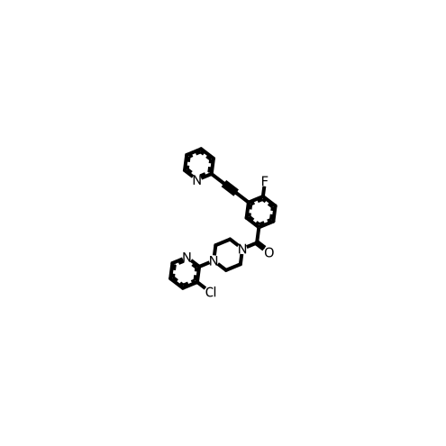 O=C(c1ccc(F)c(C#Cc2ccccn2)c1)N1CCN(c2ncccc2Cl)CC1